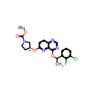 CC(Oc1ncnc2ccc(O[C@H]3CCN(C(=O)OC(C)(C)C)C3)nc12)c1cccc(Cl)c1F